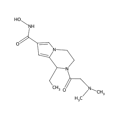 CCC1c2cc(C(=O)NO)cn2CCN1C(=O)CN(C)C